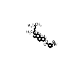 CC(C)CCC[C@@H](C)[C@H]1CCC2C3CC=C4CC(OC(=O)c5cccc([N+](=O)[O-])c5)CC[C@]4(C)C3CC[C@@]21C